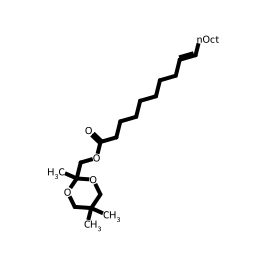 CCCCCCCCC=CCCCCCCCC(=O)OCC1(C)OCC(C)(C)CO1